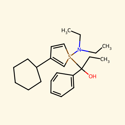 CCN(CC)S1(C(O)(CC)c2ccccc2)C=CC(C2CCCCC2)=C1